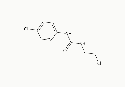 O=C(NCCCl)Nc1ccc(Cl)cc1